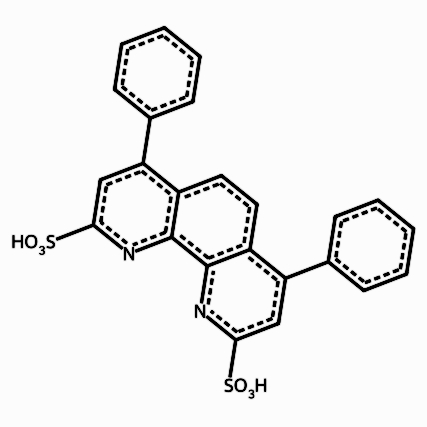 O=S(=O)(O)c1cc(-c2ccccc2)c2ccc3c(-c4ccccc4)cc(S(=O)(=O)O)nc3c2n1